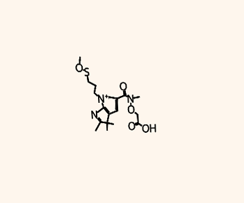 COSCCC[n+]1cc(C(=O)N(C)OCC(=O)O)cc2c1N=C(C)C2(C)C